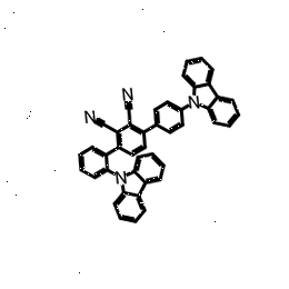 N#Cc1c(-c2ccc(-n3c4ccccc4c4ccccc43)cc2)ccc(-c2ccccc2-n2c3ccccc3c3ccccc32)c1C#N